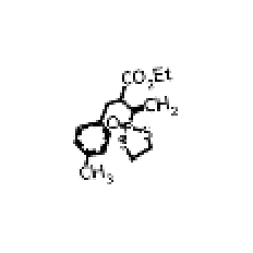 C=C(C(Cc1ccc(C)cc1)C(=O)OCC)P1(=O)SCCS1